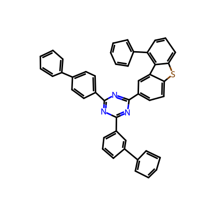 c1ccc(-c2ccc(-c3nc(-c4cccc(-c5ccccc5)c4)nc(-c4ccc5sc6cccc(-c7ccccc7)c6c5c4)n3)cc2)cc1